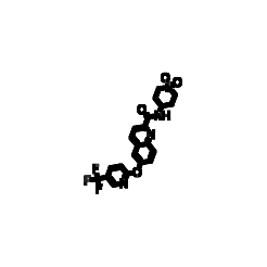 O=C(NC1CCS(=O)(=O)CC1)c1ccc2cc(Oc3ccc(C(F)(F)F)cn3)ccc2n1